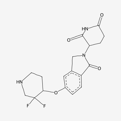 O=C1CCC(N2Cc3cc(OC4CCNCC4(F)F)ccc3C2=O)C(=O)N1